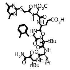 CCCC[C@H](NC(=O)[C@H](CC(C)C)NC(=O)[C@@H](NC(=O)[C@H](Cc1ccccc1C)NC(=O)[C@H](CCC(=O)O)NC(=O)[C@H](CC(=O)O)NC(=O)CSc1nc(C)cc(C)n1)C(C)(C)C)C(=O)C(N)=O